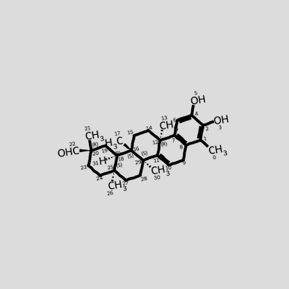 Cc1c(O)c(O)cc2c1CC=C1[C@@]2(C)CC[C@@]2(C)[C@@H]3C[C@](C)(C=O)CC[C@]3(C)CC[C@]12C